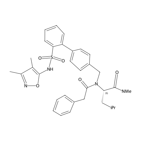 CNC(=O)[C@H](CC(C)C)N(Cc1ccc(-c2ccccc2S(=O)(=O)Nc2onc(C)c2C)cc1)C(=O)Cc1ccccc1